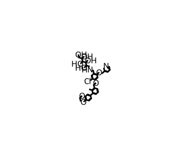 Cc1c(COc2cc(OCc3cccnc3)c(CNCC(O)C(O)C(O)C(O)CO)cc2Cl)cccc1-c1ccc2c(c1)OCCO2